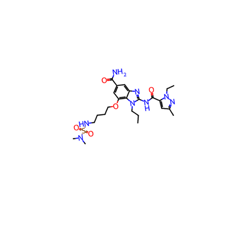 CCCn1c(NC(=O)c2cc(C)nn2CC)nc2cc(C(N)=O)cc(OCCCCNS(=O)(=O)N(C)C)c21